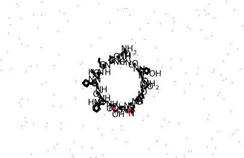 CCCC[C@H]1C(=O)N(C)[C@@H](CCCC)C(=O)N[C@@H](CC(C)C)C(=O)N[C@H](C(=O)NCC(N)=O)CCNCC(=O)N[C@@H](Cc2ccc(O)cc2)C(=O)N(C)[C@@H](C)C(=O)N[C@@H](CC(N)=O)C(=O)N2CCC[C@H]2C(=O)N[C@@H](Cc2cnc[nH]2)C(=O)N[C@@H](CC(C)C)C(=O)N2C[C@H](O)C[C@H]2C(=O)N[C@@H](Cc2c[nH]c3ccccc23)C(=O)NCC(=O)N[C@@H](Cc2c[nH]c3ccccc23)C(=O)N1C